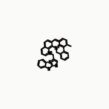 Cc1ccccc1-c1ccccc1C[n+]1cccc2ccc3ccc[n+](Cc4csc5sc6ccccc6[n+]45)c3c21